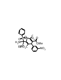 CCOC(=O)C1=C(C(N)(SCC)S(=O)(=O)c2ccccc2)NC(C)=C(C(=O)OC)C1c1cccc([N+](=O)[O-])c1